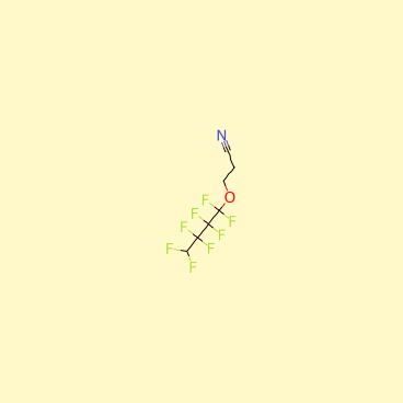 N#CCCOC(F)(F)C(F)(F)C(F)(F)C(F)F